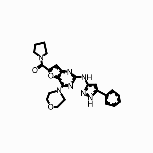 O=C(c1cc2nc(Nc3cc(-c4ccccc4)[nH]n3)nc(N3CCOCC3)c2o1)N1CCCC1